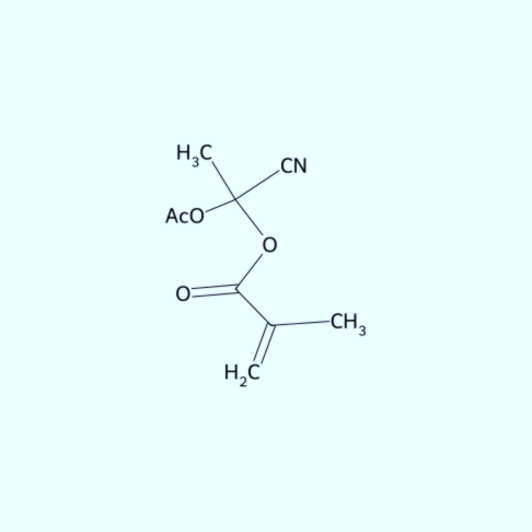 C=C(C)C(=O)OC(C)(C#N)OC(C)=O